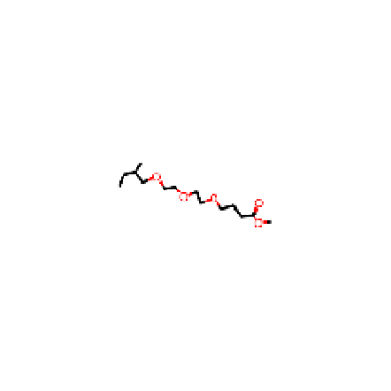 CCC(C)COCCOCCOCCCC(=O)OC